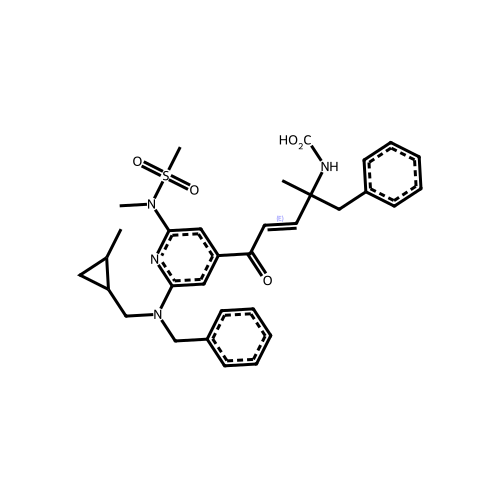 CC1CC1CN(Cc1ccccc1)c1cc(C(=O)/C=C/C(C)(Cc2ccccc2)NC(=O)O)cc(N(C)S(C)(=O)=O)n1